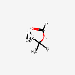 CC.CCC(=O)OC(C)(C)CC